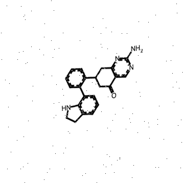 Nc1ncc2c(n1)CC(c1ccccc1-c1cccc3c1NCC3)CC2=O